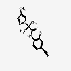 Cc1cnn(C(C)(C)C(=O)Nc2ccc(C#N)cc2Br)c1